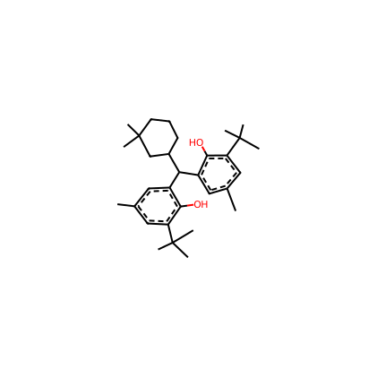 Cc1cc(C(c2cc(C)cc(C(C)(C)C)c2O)C2CCCC(C)(C)C2)c(O)c(C(C)(C)C)c1